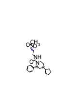 CS(=O)(=O)/C=C/CNC(=O)N1CC[C@@H](C2CCCC2)C[C@H]1c1ccccc1